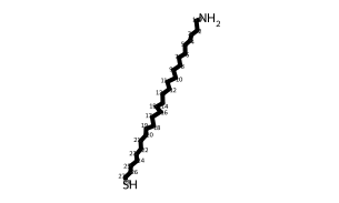 NCCCCCCCCCCCCCCCCCCCCCCCCCCCS